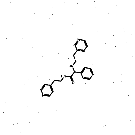 O=C(NCCc1ccncc1)C(NCCc1cccnc1)c1ccncc1